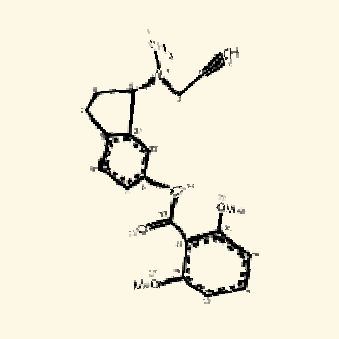 C#CCN(C)[C@@H]1CCc2ccc(OC(=O)c3c(OC)cccc3OC)cc21